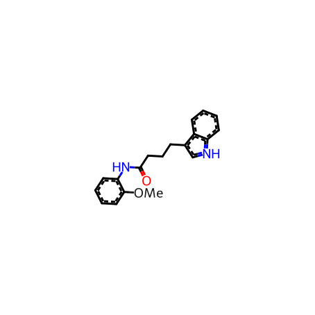 COc1ccccc1NC(=O)CCCc1c[nH]c2ccccc12